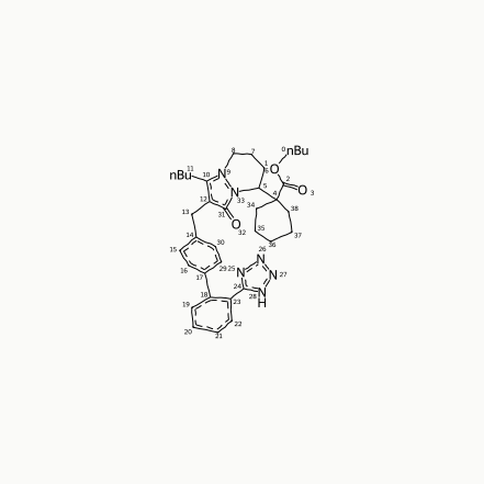 CCCCOC(=O)C1(C2CCCn3c(CCCC)c(Cc4ccc(-c5ccccc5-c5nnn[nH]5)cc4)c(=O)n32)CCCCC1